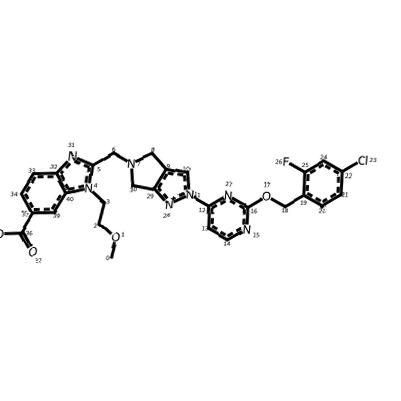 COCCn1c(CN2Cc3cn(-c4ccnc(OCc5ccc(Cl)cc5F)n4)nc3C2)nc2ccc(C(=O)O)cc21